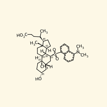 CC(CCC(=O)O)[C@H]1CC[C@H]2[C@H]3[C@H](CC[C@]12C)[C@@]1(C)CC[C@@H](O)C[C@H]1C[C@@H]3S(=O)(=O)c1cccc2c(N(C)C)cccc12